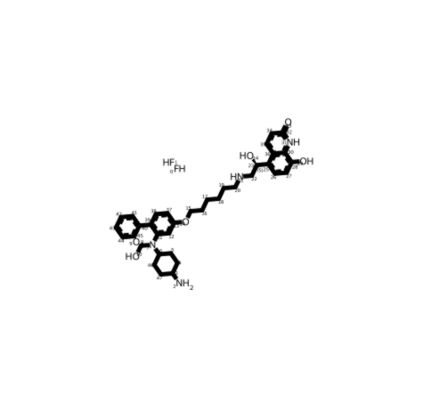 F.F.NC1CCC(N(C(=O)O)c2cc(OCCCCCCNC[C@@H](O)c3ccc(O)c4[nH]c(=O)ccc34)ccc2-c2ccccc2)CC1